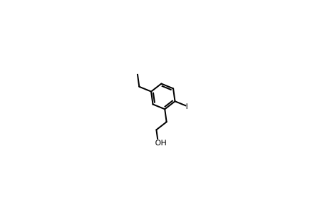 CCc1ccc(I)c(CCO)c1